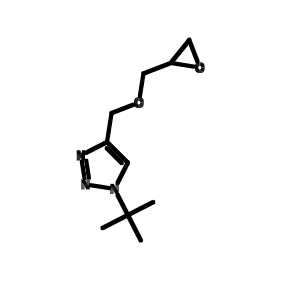 CC(C)(C)n1cc(COCC2CO2)nn1